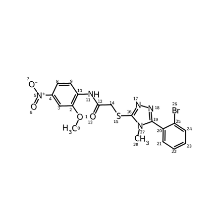 COc1cc([N+](=O)[O-])ccc1NC(=O)CSc1nnc(-c2ccccc2Br)n1C